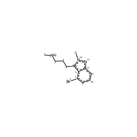 CNCCCc1c2c(Br)cccc2nn1C